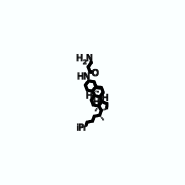 CC(C)CCC[C@@H](C)[C@H]1CC[C@H]2[C@@H]3CC=C4C[C@@H](NC(=O)CCN)CC[C@]4(C)[C@H]3CC[C@]12C